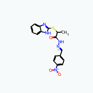 CC(Sc1nc2ccccc2[nH]1)C(=O)N/N=C/c1ccc([N+](=O)[O-])cc1